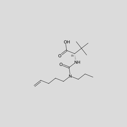 C=CCCCN(CCC)C(=O)N[C@H](C(=O)O)C(C)(C)C